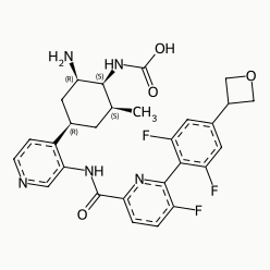 C[C@H]1C[C@@H](c2ccncc2NC(=O)c2ccc(F)c(-c3c(F)cc(C4COC4)cc3F)n2)C[C@@H](N)[C@H]1NC(=O)O